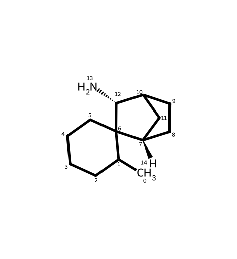 CC1CCCCC12[C@H]1CCC(C1)[C@H]2N